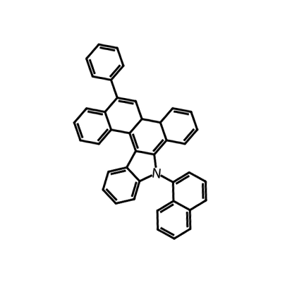 C1=CC2=c3c(c4ccccc4n3-c3cccc4ccccc34)=C3c4ccccc4C(c4ccccc4)=CC3C2C=C1